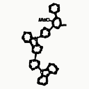 COc1c(-c2ccccc2)cc(C)cc1-c1ccc(-n2c3ccccc3c3cc(-c4cccc(-n5c6ccccc6c6ccccc65)c4)ccc32)cc1